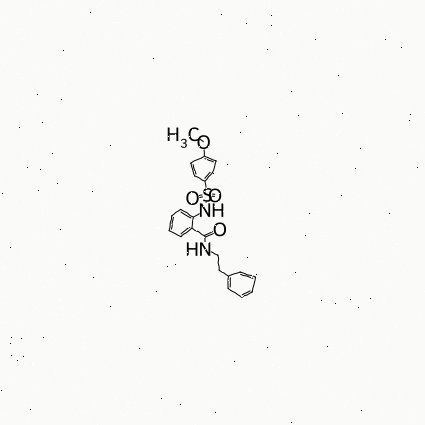 COc1ccc(S(=O)(=O)Nc2ccccc2C(=O)NCCc2ccccc2)cc1